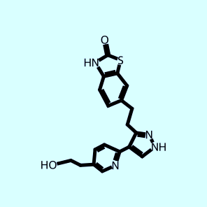 O=c1[nH]c2ccc(CCc3n[nH]cc3-c3ccc(CCO)cn3)cc2s1